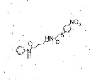 O=C(CSc1ccc([N+](=O)[O-])cc1)NCCCCCC(=O)Nc1ccccc1